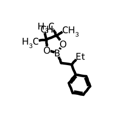 CCC(CB1OC(C)(C)C(C)(C)O1)c1ccccc1